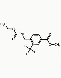 CCOC(=O)NCc1ccc(C(=O)OC)cc1C(F)(F)F